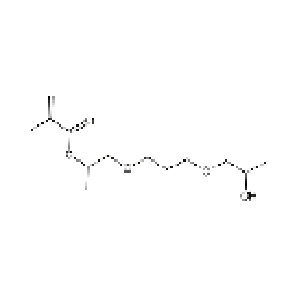 C=C(C)C(=O)OC(C)COCCCOCC(C)O